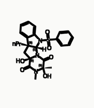 CCC[C@]12C[C@@]3(O)C(=O)N(C)[C@](C)(O)C(=O)N3[C@H]1N(S(=O)(=O)c1ccccc1)c1ccccc12